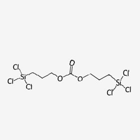 O=C(OCCC[Si](Cl)(Cl)Cl)OCCC[Si](Cl)(Cl)Cl